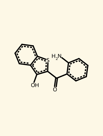 Nc1ccccc1C(=O)c1sc2ccccc2c1O